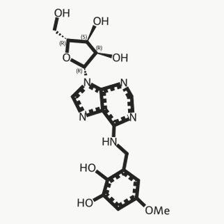 COc1cc(O)c(O)c(CNc2ncnc3c2ncn3[C@@H]2O[C@H](CO)[C@@H](O)[C@H]2O)c1